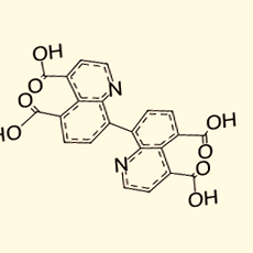 O=C(O)c1ccnc2c(-c3ccc(C(=O)O)c4c(C(=O)O)ccnc34)ccc(C(=O)O)c12